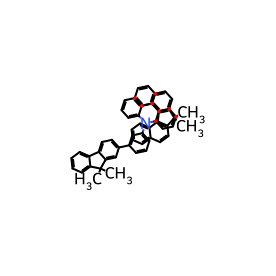 CC1(C)c2ccccc2-c2ccc(-c3cccc(N(c4ccccc4-c4ccccc4)c4ccccc4-c4cccc5c4-c4c(ccc6ccccc46)C5(C)C)c3)cc21